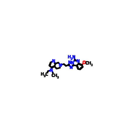 CCN(CC)c1ccnc2c1CCN(CCc1nc3c4cccc(OC)c4nc(N)n3n1)C2